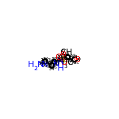 COc1ccc(C2(C)CCOCC2)cc1S(=O)(=O)NC(=O)c1ccc2c(-c3cccc(N)n3)cccc2n1